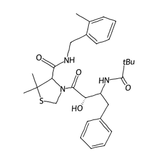 Cc1ccccc1CNC(=O)C1N(C(=O)[C@@H](O)C(Cc2ccccc2)NC(=O)C(C)(C)C)CSC1(C)C